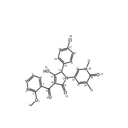 COc1ncccc1C(=O)C1=C(O)C(c2ccc(Cl)cc2)N(c2cc(C)c(=O)n(C)c2)C1=O